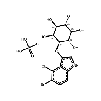 O=P(O)(O)O.O[C@@H]1[C@@H](O)[C@H](O)[C@@H](Oc2c[nH]c3ccc(Br)c(Cl)c23)[C@@H](O)[C@H]1O